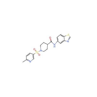 Cc1ccc(S(=O)(=O)N2CCC(C(=O)Nc3ccc4scnc4c3)CC2)cn1